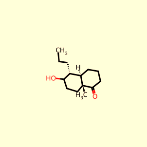 CCC[C@H]1C(O)CC[C@@]2(C)C(=O)CCC[C@H]12